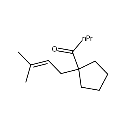 CCCC(=O)C1(CC=C(C)C)CCCC1